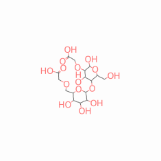 O=C(O)COCC1OC(OC2C(CO)OC(O)C(OCC(=O)O)C2O)C(O)C(O)C1O